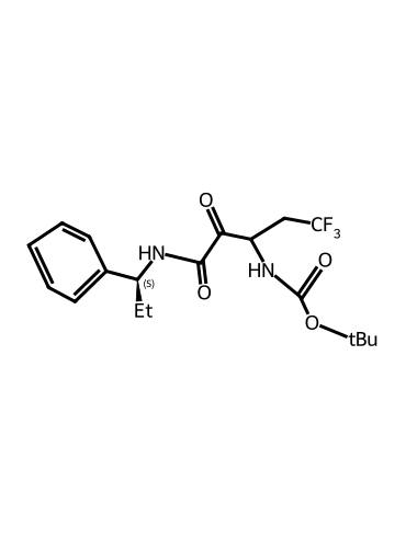 CC[C@H](NC(=O)C(=O)C(CC(F)(F)F)NC(=O)OC(C)(C)C)c1ccccc1